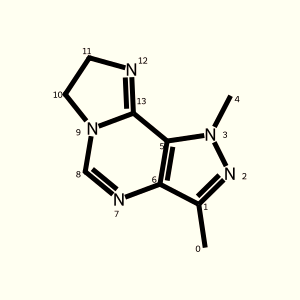 Cc1nn(C)c2c1N=CN1CCN=C21